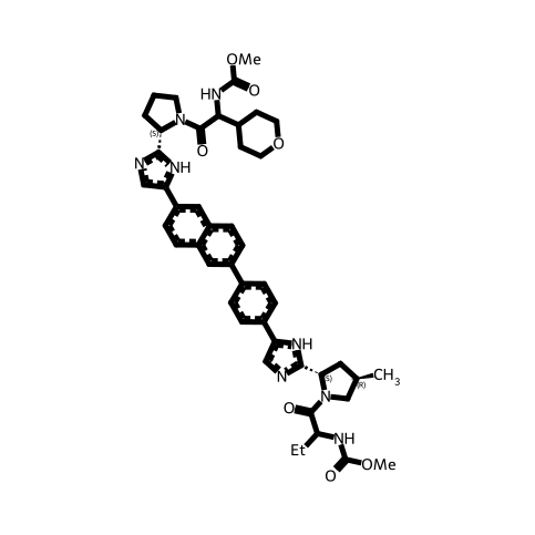 CCC(NC(=O)OC)C(=O)N1C[C@H](C)C[C@H]1c1ncc(-c2ccc(-c3ccc4cc(-c5cnc([C@@H]6CCCN6C(=O)C(NC(=O)OC)C6CCOCC6)[nH]5)ccc4c3)cc2)[nH]1